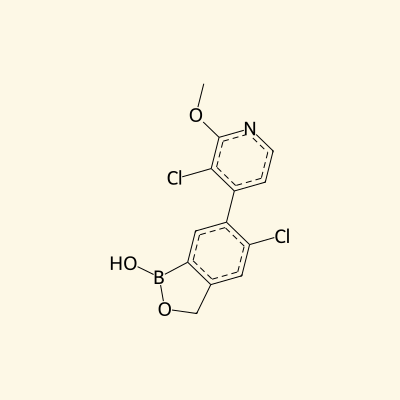 COc1nccc(-c2cc3c(cc2Cl)COB3O)c1Cl